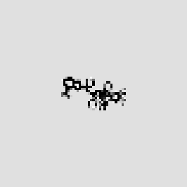 CC(C)c1cccc2c1CC(C(=O)C[C@@H]1CC(C(=O)C3CC(F)(F)C[C@H]3C#N)NC1=O)C2